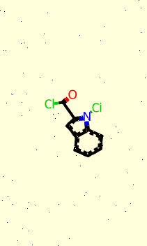 O=C(Cl)c1cc2ccccc2n1Cl